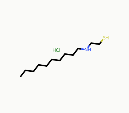 CCCCCCCCCCNCCS.Cl